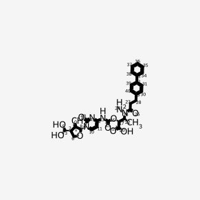 C=C1[C@H](C(O)O)CO[C@H]1n1ccc(NC(=O)O[C@H](C(=O)O)[C@H](C)N(N)C(=O)CCc2ccc(-c3ccccc3)cc2)nc1=O